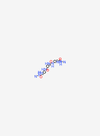 CN(C)CCNC(=O)C1Cc2ccc(NC(=O)c3ccc4[nH]c(C(=O)Nc5ccc6c(c5)NC(C(=O)NCCN(C)C)C6)cc4c3)cc2N1